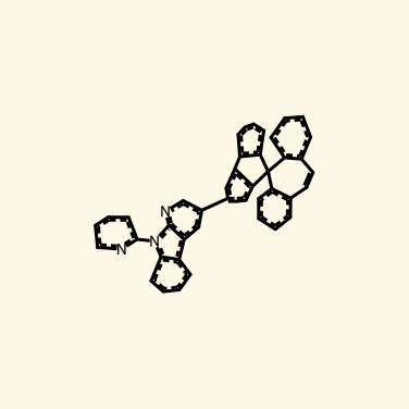 C1=Cc2ccccc2C2(c3ccccc31)c1ccccc1-c1cc(-c3cnc4c(c3)c3ccccc3n4-c3ccccn3)ccc12